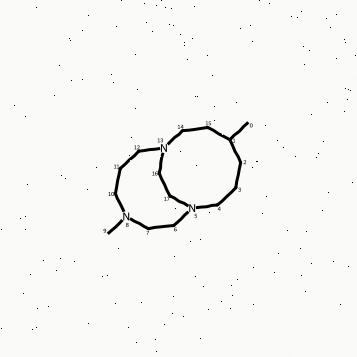 CC1CCCN2CCN(C)CCCN(CC1)CC2